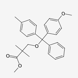 COC(=O)C(C)(C)COC(c1ccccc1)(c1ccc(C)cc1)c1ccc(OC)cc1